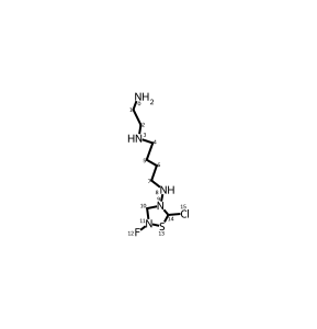 NCCNCCCCNN1CN(F)SC1Cl